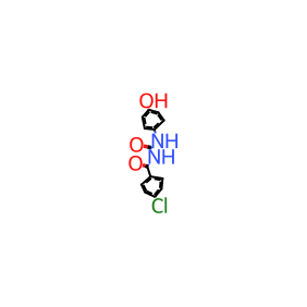 O=C(NC(=O)c1ccc(Cl)cc1)Nc1ccc(O)cc1